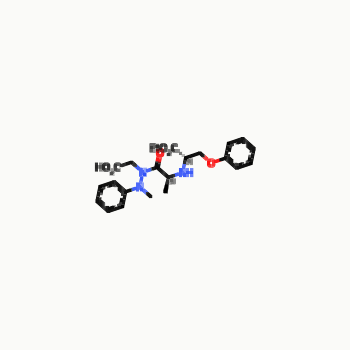 CCOC(=O)[C@H](COc1ccccc1)N[C@@H](C)C(=O)N(CC(=O)O)N(C)c1ccccc1